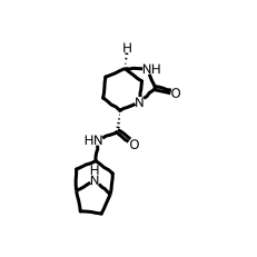 O=C(NC1CC2CCC(C1)N2)[C@@H]1CC[C@@H]2CN1C(=O)N2